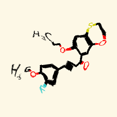 CCCOc1cc2c(cc1C(=O)/C=C/c1ccc(OC)c(F)c1)OCCS2